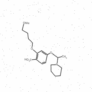 COCCCCOc1cc(OC(C)N2CCCCC2)ccc1C(=O)O